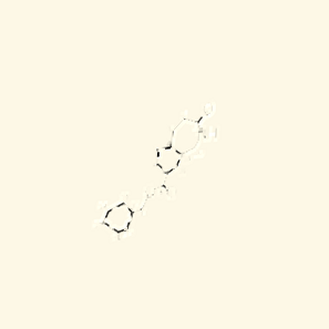 O=C1CCc2ccc(C(=O)OCc3ccccc3)cc2CN1